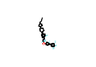 CCCCCC1CCC(C2CCC(c3ccc(/C=C/C(F)(F)Oc4ccc(-c5cc(F)c(F)c(F)c5)c(F)c4)c(F)c3)CC2)CC1